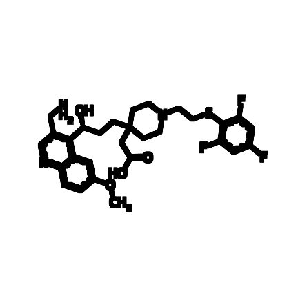 COc1ccc2ncc(CN)c([C@@H](O)CCC3(CC(=O)O)CCN(CCSc4c(F)cc(F)cc4F)CC3)c2c1